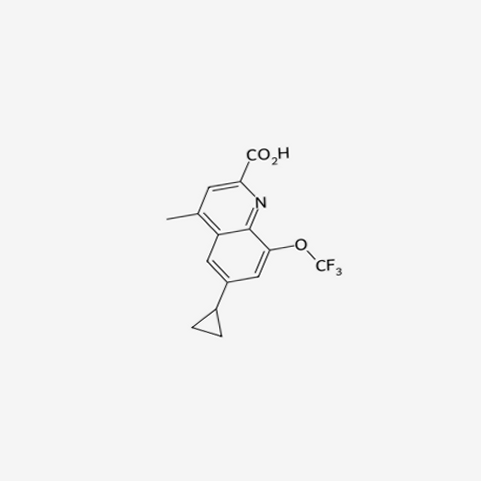 Cc1cc(C(=O)O)nc2c(OC(F)(F)F)cc(C3CC3)cc12